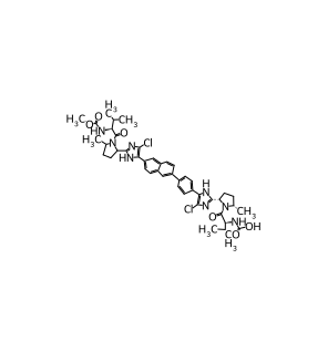 COC(=O)N[C@H](C(=O)N1C(C)CCC1c1nc(Cl)c(-c2ccc3cc(-c4ccc(-c5[nH]c([C@@H]6CC[C@H](C)N6C(=O)[C@@H](NC(=O)O)C(C)C)nc5Cl)cc4)ccc3c2)[nH]1)C(C)C